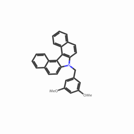 COc1cc(Cn2c3ccc4ccccc4c3c3c4ccccc4ccc32)cc(OC)c1